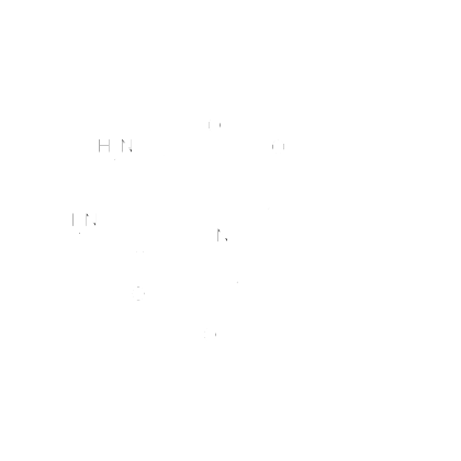 NC(=O)C(C(N)=O)N1C(=O)c2ccccc2C1=O